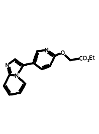 CCOC(=O)COc1ccc(-c2cnc3ccccn23)cn1